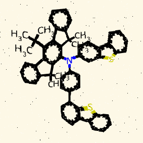 CC(C)(C)c1c2c(c(N(c3ccc(-c4cccc5c4sc4ccccc45)cc3)c3ccc4c(c3)sc3ccccc34)c3c1-c1ccccc1C3(C)C)C(C)(C)c1ccccc1-2